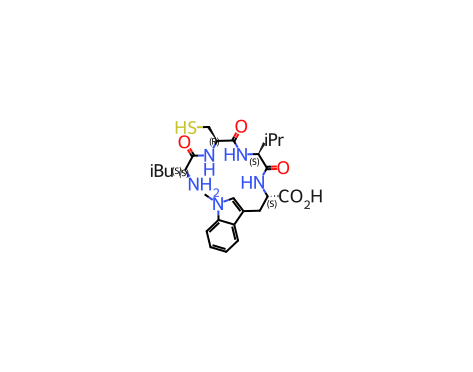 CC[C@H](C)[C@H](N)C(=O)N[C@@H](CS)C(=O)N[C@H](C(=O)N[C@@H](Cc1cn(C)c2ccccc12)C(=O)O)C(C)C